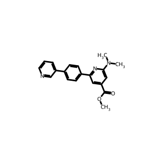 COC(=O)c1cc(-c2ccc(-c3cccnc3)cc2)nc(N(C)C)c1